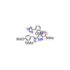 CNC(=O)c1nnc(NCc2ccc(OC)c(OC)c2)cc1Nc1cccc(-c2ncn(C)n2)c1OC